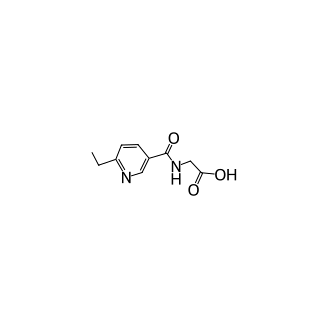 CCc1ccc(C(=O)NCC(=O)O)cn1